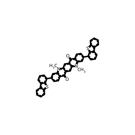 Cn1c2cc(-c3cccc4c3sc3ccccc34)ccc2c(=O)c2cc3c(cc21)c(=O)c1ccc(-c2cccc4c2sc2ccccc24)cc1n3C